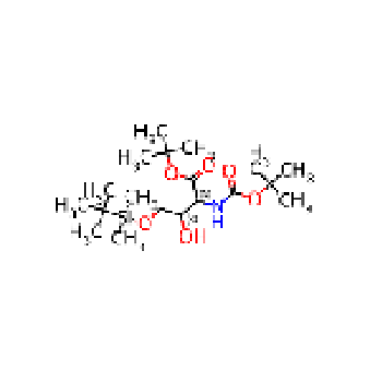 CC(C)(C)OC(=O)N[C@H](C(=O)OC(C)(C)C)[C@@H](O)CO[Si](C)(C)C(C)(C)C